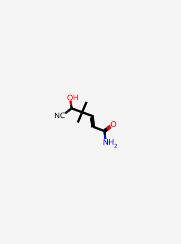 CC(C)(C=CC(N)=O)C(O)C#N